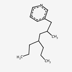 CCCC(CCC)CC(C)Cc1cccnc1